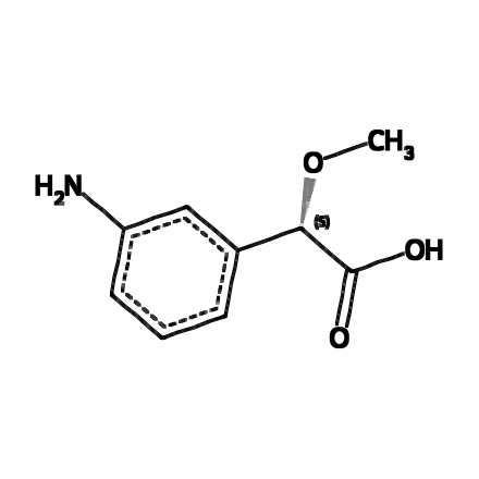 CO[C@H](C(=O)O)c1cccc(N)c1